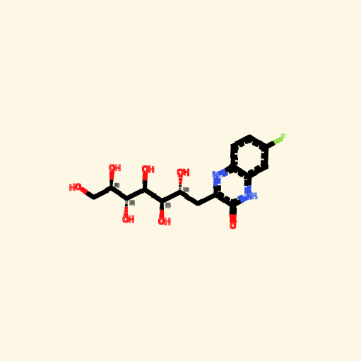 O=c1[nH]c2cc(F)ccc2nc1C[C@@H](O)[C@@H](O)C(O)[C@H](O)[C@H](O)CO